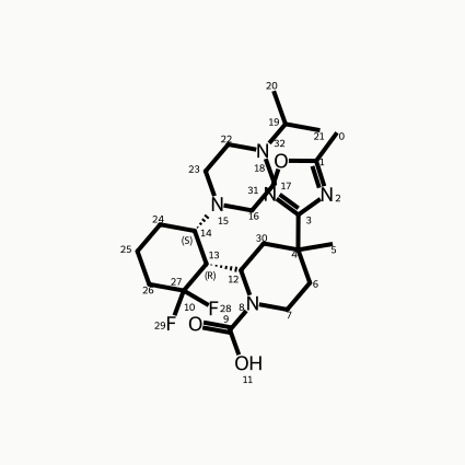 Cc1nc(C2(C)CCN(C(=O)O)C([C@H]3[C@@H](N4CCN(C(C)C)CC4)CCCC3(F)F)C2)no1